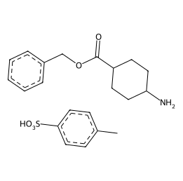 Cc1ccc(S(=O)(=O)O)cc1.NC1CCC(C(=O)OCc2ccccc2)CC1